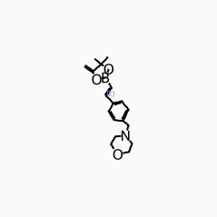 C=C1OB(/C=C/c2ccc(CN3CCOCC3)cc2)OC1(C)C